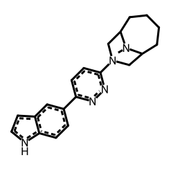 CN1C2CCCCC1CN(c1ccc(-c3ccc4[nH]ccc4c3)nn1)C2